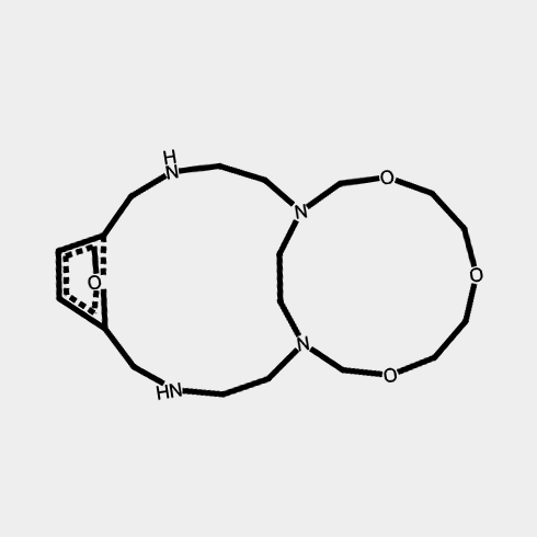 c1cc2oc1CNCCN1CCN(CCNC2)COCCOCCOC1